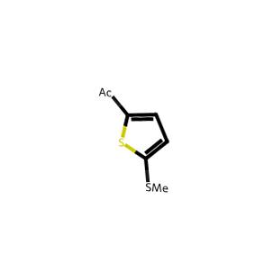 CSc1ccc(C(C)=O)s1